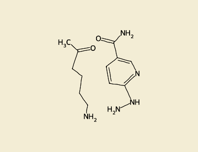 CC(=O)CCCCN.NNc1ccc(C(N)=O)cn1